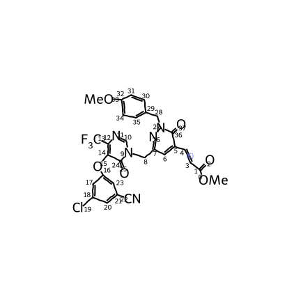 COC(=O)/C=C/c1cc(Cn2cnc(C(F)(F)F)c(Oc3cc(Cl)cc(C#N)c3)c2=O)nn(Cc2ccc(OC)cc2)c1=O